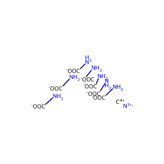 NC(=O)[O-].NC(=O)[O-].NC(=O)[O-].NC(=O)[O-].NC(=O)[O-].NC(=O)[O-].NC(=O)[O-].[C+4].[N+3]